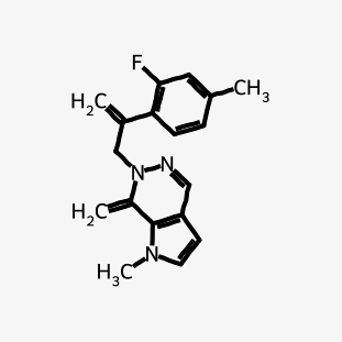 C=C(CN1N=Cc2ccn(C)c2C1=C)c1ccc(C)cc1F